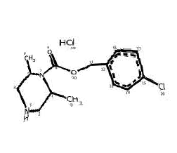 CC1CNCC(C)N1C(=O)OCc1ccc(Cl)cc1.Cl